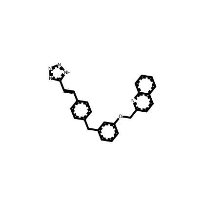 C(=C\c1nnn[nH]1)/c1ccc(Cc2cccc(OCc3ccc4ccccc4n3)c2)cc1